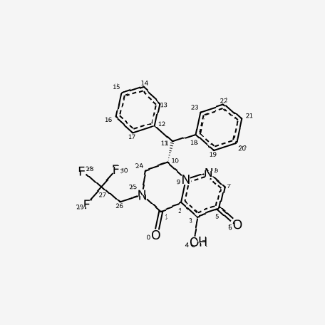 O=C1c2c(O)c(=O)cnn2[C@@H](C(c2ccccc2)c2ccccc2)CN1CC(F)(F)F